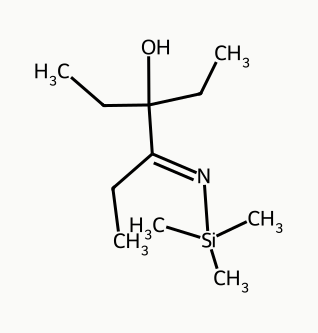 CCC(=N[Si](C)(C)C)C(O)(CC)CC